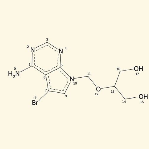 Nc1ncnc2c1c(Br)cn2COC(CO)CO